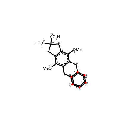 COc1c2c(c(OC)c3c1C1c4ccccc4C3c3ccccc31)CC(C(=O)O)(C(=O)O)C2